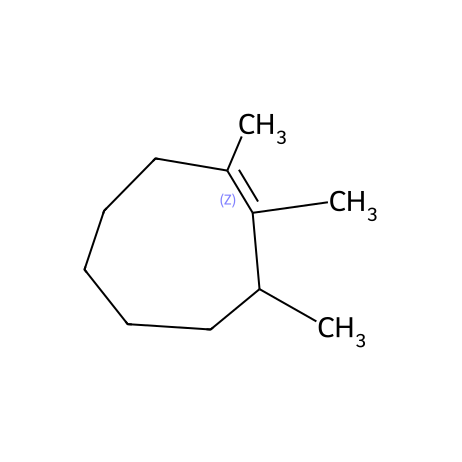 C/C1=C(\C)C(C)CCCCC1